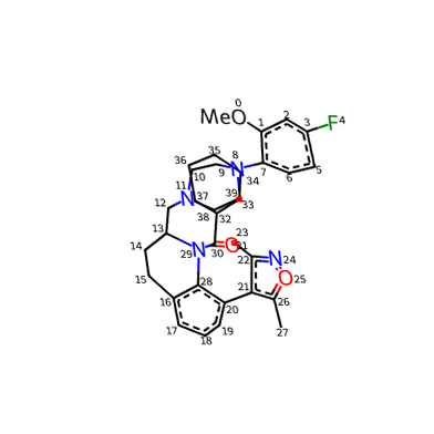 COc1cc(F)ccc1N1CCN(CC2CCc3cccc(-c4c(C)noc4C)c3N2C(=O)C2CCCCC2)CC1